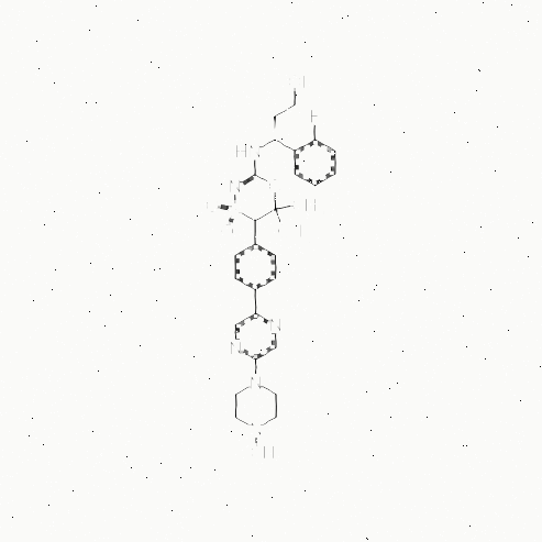 CN1CCN(c2cnc(-c3ccc(C4C(C)(C)OC(N[C@@H](CCO)c5ccccc5F)=NS4(=O)=O)cc3)cn2)CC1